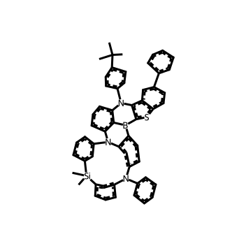 CC(C)(C)c1ccc(N2c3cccc4c3B(c3ccc5cc3N4c3cccc(c3)[Si](C)(C)c3cccc(c3)N5c3ccccc3)c3sc4ccc(-c5ccccc5)cc4c32)cc1